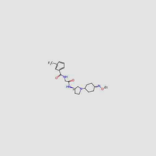 CCON=C1CCC(N2CC[C@@H](NC(=O)CNC(=O)c3cccc(C(F)(F)F)c3)C2)CC1